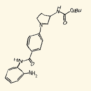 CC(C)COC(=O)NC1CCN(c2ccc(C(=O)Nc3ccccc3N)cc2)C1